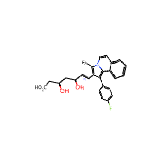 CCc1c(/C=C/C(O)CC(O)CC(=O)O)c(-c2ccc(F)cc2)c2c3ccccc3ccn12